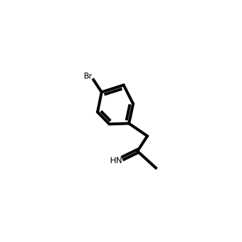 CC(=N)Cc1ccc(Br)cc1